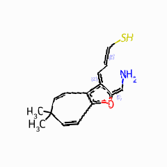 CC1(C)C=Cc2oc(=C/N)/c(=C\C=C\S)c2C=C1